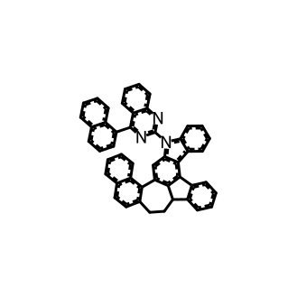 c1ccc2c(c1)-c1c3c(cc4c1c1ccccc1n4-c1nc(-c4cccc5ccccc45)c4ccccc4n1)-c1c(ccc4ccccc14)CCC23